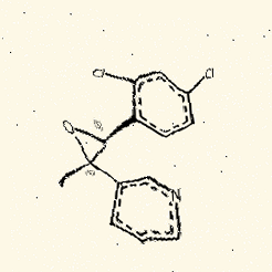 C[C@@]1(c2cccnc2)O[C@H]1c1ccc(Cl)cc1Cl